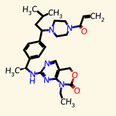 C=CC(=O)N1CCN(C(CC(C)C)c2ccc([C@H](C)Nc3ncc4c(n3)N(CC)C(=O)OC4)cc2)CC1